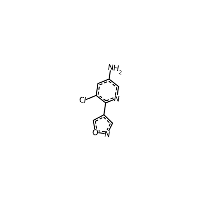 Nc1cnc(-c2cnoc2)c(Cl)c1